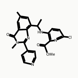 COC(=O)c1nc(Cl)ccc1NC(C)c1cc(C)cc2c(=O)n(C)c(-c3ccncc3)nc12